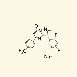 Cc1nn2c([O-])cc(-c3ccc(C(F)(F)F)cc3)nc2c1-c1ccc(F)cc1F.[Na+]